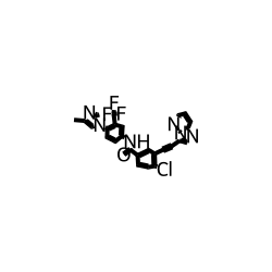 Cc1cn(-c2ccc(NC(=O)c3ccc(Cl)c(C#Cc4cnc5cccnn45)c3)cc2C(F)(F)F)cn1